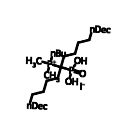 CCCCCCCCCCCCCCC(CCCCCCCCCCCCCC)(P(=O)(O)O)[P+](C)(C)CCCC.[I-]